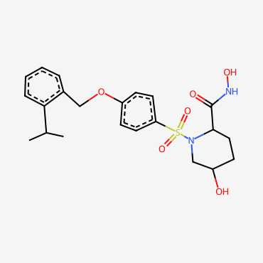 CC(C)c1ccccc1COc1ccc(S(=O)(=O)N2CC(O)CCC2C(=O)NO)cc1